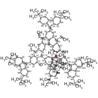 CSN1c2cc3c(cc2B2c4cc(C(C)(C)C)ccc4Oc4cc(-n5c6ccc(C(C)(C)C)cc6c6cc(C(C)(C)C)ccc65)cc1c42)B1c2cc4c(cc2N(SC)c2cc(-n5c6ccc(C(C)(C)C)cc6c6cc(C(C)(C)C)ccc65)cc(c21)N3SC)Nc1cc(-n2c3ccc(C(C)(C)C)cc3c3cc(C(C)(C)C)ccc32)cc2c1B4c1cc(C(C)(C)C)cc3c4cc(C(C)(C)C)ccc4n-2c13